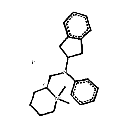 C[N+]1(C)CCCC[C@H]1CN(c1ccccc1)C1Cc2ccccc2C1.[I-]